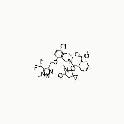 COC(=O)[C@@]1(C)CC=CC[C@H]1C(=O)N1CCc2c(Cl)ccc(OCc3nnn(C)c3C(F)F)c2[C@H]1CN1CC2(CC2)CC1=O